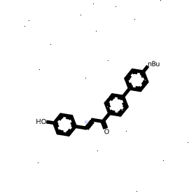 CCCCc1ccc(-c2ccc(C(=O)/C=C/c3ccc(O)cc3)cc2)cc1